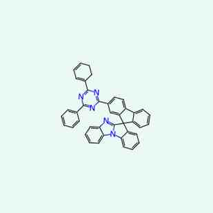 C1=CCCC(c2nc(-c3ccccc3)nc(-c3ccc4c(c3)C3(c5ccccc5-4)c4ccccc4-n4c3nc3ccccc34)n2)=C1